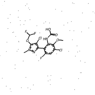 COc1c(Cl)cc(F)c(-c2nn(C)c(OC(F)F)c2Cl)c1NC(=O)O